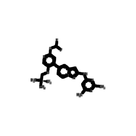 Cc1cc(Nc2cc3cc(-c4cc(OC(F)F)ncc4OC[C@](C)(N)C(F)(F)F)ccn3n2)nc(C)n1